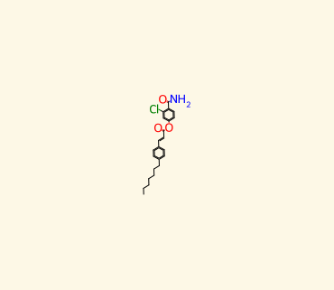 CCCCCCCc1ccc(/C=C/C(=O)Oc2ccc(C(N)=O)c(Cl)c2)cc1